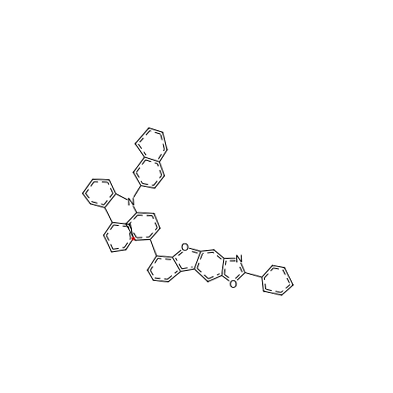 c1ccc(-c2nc3cc4oc5c(-c6ccc(N(c7ccc8ccccc8c7)c7ccccc7-c7ccccc7)cc6)cccc5c4cc3o2)cc1